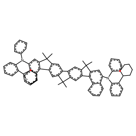 CC1(C)c2cc3c(cc2-c2cc4c(cc21)-c1c(cc(N(c2ccccc2)c2ccccc2C2CCCCC2)c2ccccc12)C4(C)C)C(C)(C)c1cc(N(c2ccccc2)c2ccccc2C2CCCCC2)c2ccccc2c1-3